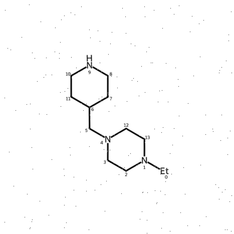 CCN1CCN(CC2CCNCC2)CC1